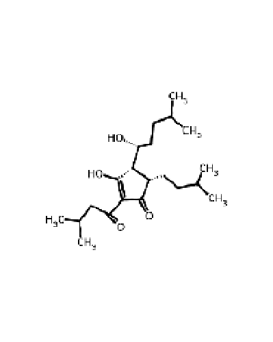 CC(C)CC[C@@H](O)[C@H]1C(O)=C(C(=O)CC(C)C)C(=O)[C@H]1CCC(C)C